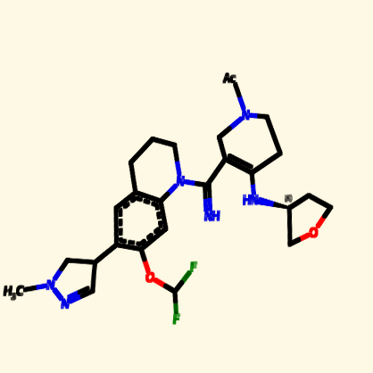 CC(=O)N1CCC(N[C@H]2CCOC2)=C(C(=N)N2CCCc3cc(C4C=NN(C)C4)c(OC(F)F)cc32)C1